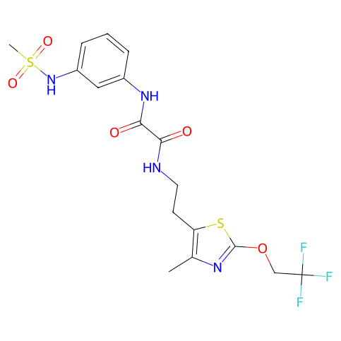 Cc1nc(OCC(F)(F)F)sc1CCNC(=O)C(=O)Nc1cccc(NS(C)(=O)=O)c1